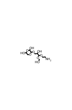 NCCOC(OCO)C(O)COC1OCC(O)OC1O